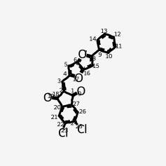 O=C1C(=Cc2cc3oc(-c4ccccc4)cc3o2)C(=O)c2cc(Cl)c(Cl)cc21